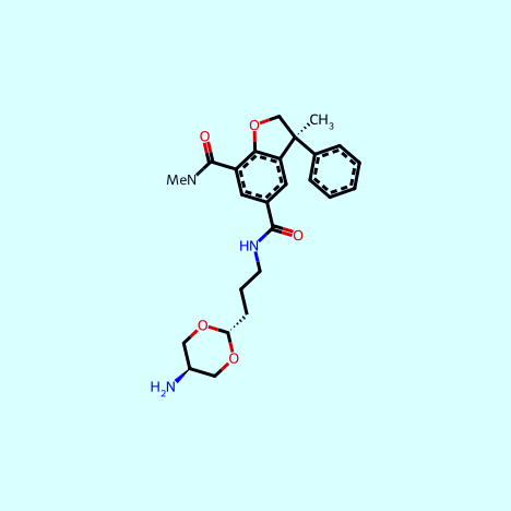 CNC(=O)c1cc(C(=O)NCCC[C@H]2OC[C@H](N)CO2)cc2c1OC[C@@]2(C)c1ccccc1